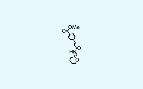 COC(=O)c1ccc(C=CC(=O)NOC2CCCCO2)cc1